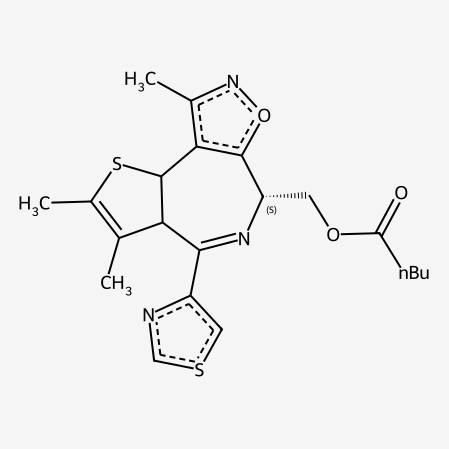 CCCCC(=O)OC[C@@H]1N=C(c2cscn2)C2C(C)=C(C)SC2c2c(C)noc21